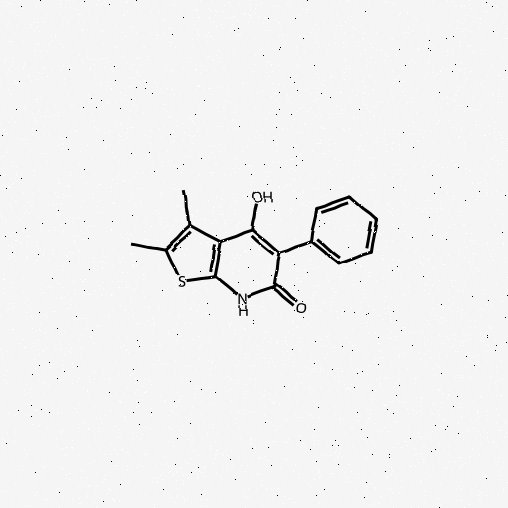 Cc1sc2[nH]c(=O)c(-c3ccccc3)c(O)c2c1C